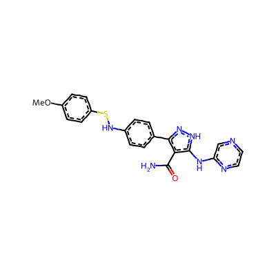 COc1ccc(SNc2ccc(-c3n[nH]c(Nc4cnccn4)c3C(N)=O)cc2)cc1